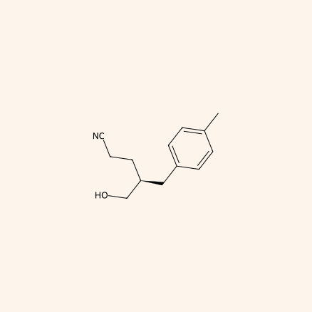 Cc1ccc(C[C@@H](CO)CCC#N)cc1